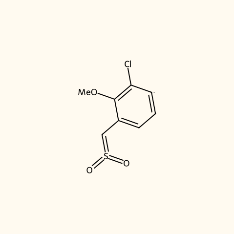 COc1c(Cl)[c]ccc1C=S(=O)=O